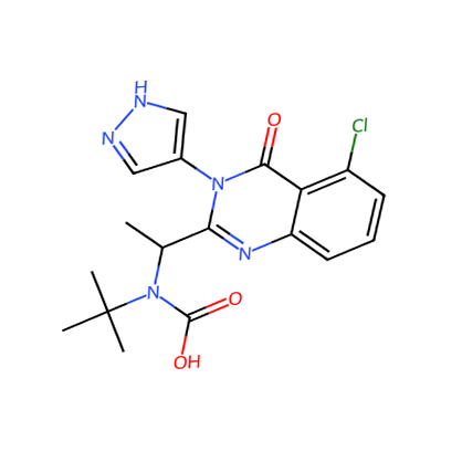 CC(c1nc2cccc(Cl)c2c(=O)n1-c1cn[nH]c1)N(C(=O)O)C(C)(C)C